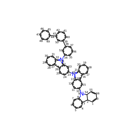 C1=CC2c3ccccc3N(c3ccc4c(c3)c3ccccc3n4-c3ccc4c5ccccc5n(-c5cccc(-c6cccc(-c7ccccc7)c6)c5)c4c3)C2C=C1